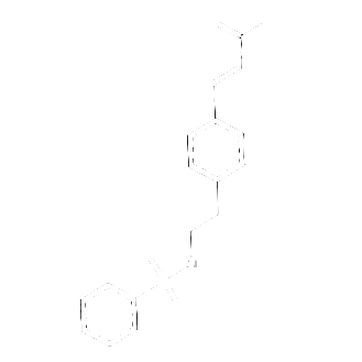 O=C(O)C=Cc1ccc(CCNS(=O)(=O)c2ccccc2)cc1